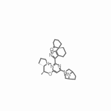 C[C@H](Oc1cc(N2CC3CCC(C2)N3)nc(-c2noc3c2CCC[C@@]32CCCCC2=O)n1)[C@@H]1CCCN1C